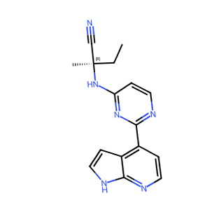 CC[C@](C)(C#N)Nc1ccnc(-c2ccnc3[nH]ccc23)n1